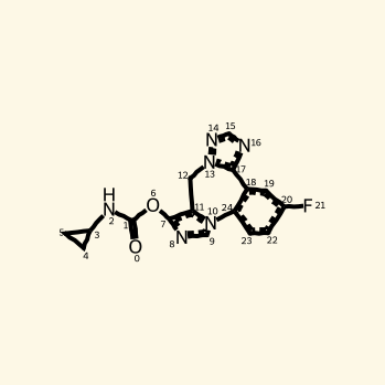 O=C(NC1CC1)Oc1ncn2c1Cn1ncnc1-c1cc(F)ccc1-2